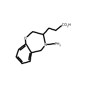 O=C(O)CCC1COc2ccccc2CN1P